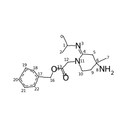 CC(C)/N=C1/CC(C)(N)CCN1CC(=O)OCc1ccccc1